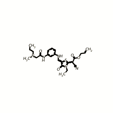 C=CCOC(=O)C(C#N)=c1sc(=CNc2cccc(NC(=O)CN(C)CCC)c2)c(=O)n1CC